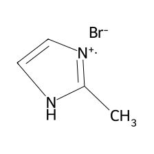 CC1=[N+]C=CN1.[Br-]